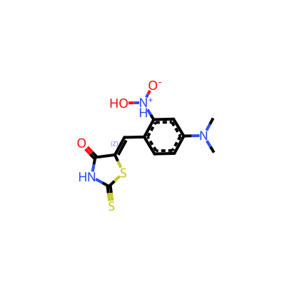 CN(C)c1ccc(/C=C2\SC(=S)NC2=O)c([NH+]([O-])O)c1